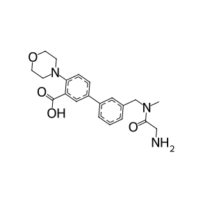 CN(Cc1cccc(-c2ccc(N3CCOCC3)c(C(=O)O)c2)c1)C(=O)CN